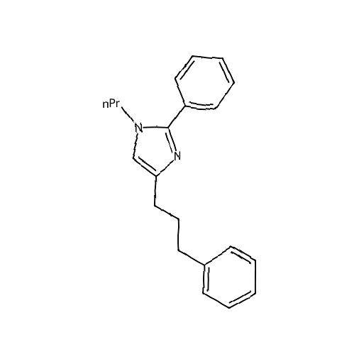 CCCn1cc(CCCc2ccccc2)nc1-c1ccccc1